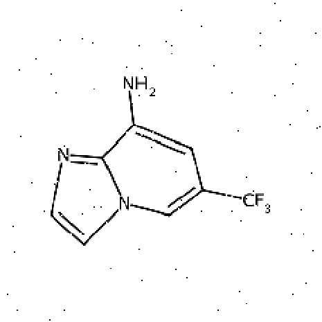 Nc1cc(C(F)(F)F)cn2ccnc12